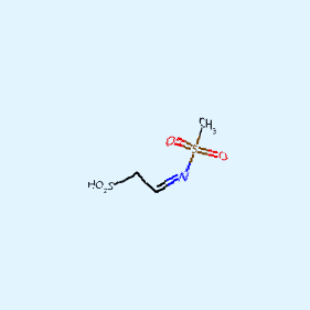 CS(=O)(=O)/N=C\CS(=O)(=O)O